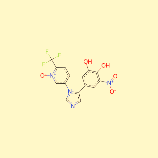 O=[N+]([O-])c1cc(-c2cncn2-c2ccc(C(F)(F)F)[n+]([O-])c2)cc(O)c1O